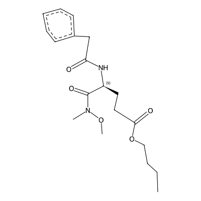 CCCCOC(=O)CC[C@H](NC(=O)Cc1ccccc1)C(=O)N(C)OC